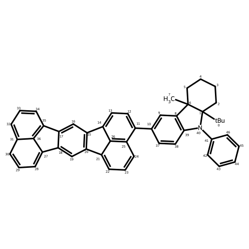 CC(C)(C)C12CCCCC1(C)c1cc(-c3ccc4c5cc6c(cc5c5cccc3c54)c3cccc4cccc6c43)ccc1N2c1ccccc1